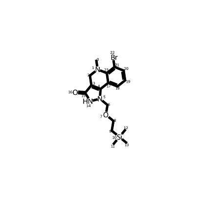 CN1Cc2c(n(COCC[Si](C)(C)C)[nH]c2=O)-c2cccc(Br)c21